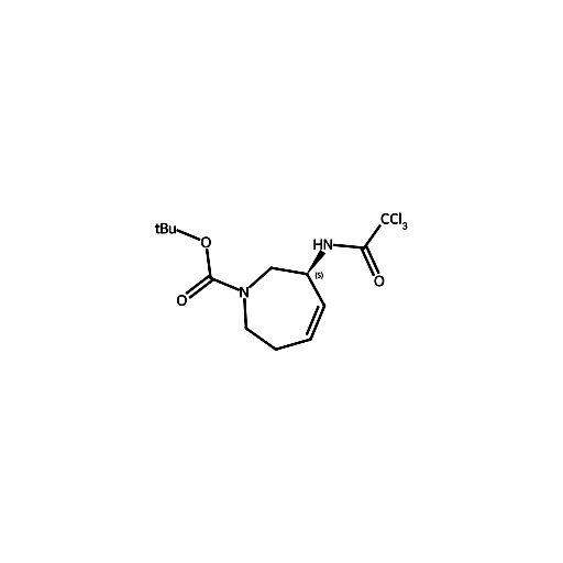 CC(C)(C)OC(=O)N1CCC=C[C@H](NC(=O)C(Cl)(Cl)Cl)C1